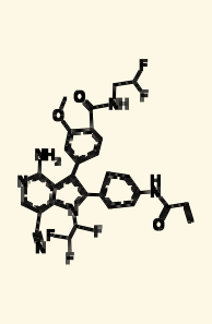 C=CC(=O)Nc1ccc(-c2c(-c3ccc(C(=O)NCC(F)F)c(OC)c3)c3c(N)ncc(C#N)c3n2C(F)C(F)F)cc1